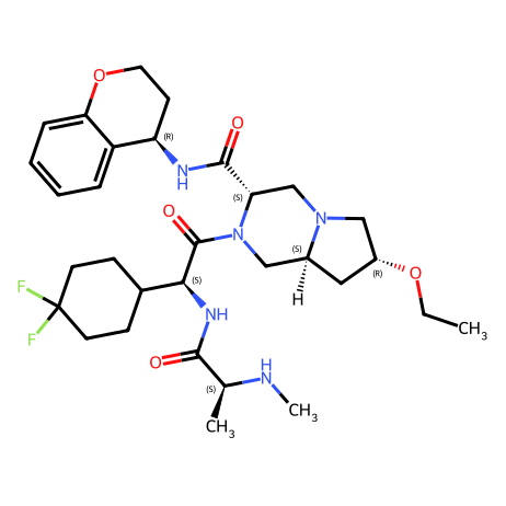 CCO[C@@H]1C[C@H]2CN(C(=O)[C@@H](NC(=O)[C@H](C)NC)C3CCC(F)(F)CC3)[C@H](C(=O)N[C@@H]3CCOc4ccccc43)CN2C1